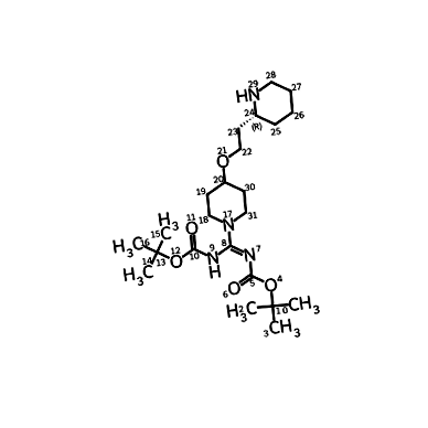 CC(C)(C)OC(=O)N=C(NC(=O)OC(C)(C)C)N1CCC(OCC[C@H]2CCCCN2)CC1